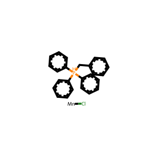 [Cl][Mn].c1ccc(C[PH](c2ccccc2)(c2ccccc2)c2ccccc2)cc1